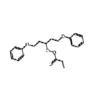 CCC(=O)OOC(CCOc1ccccc1)CCOc1ccccc1